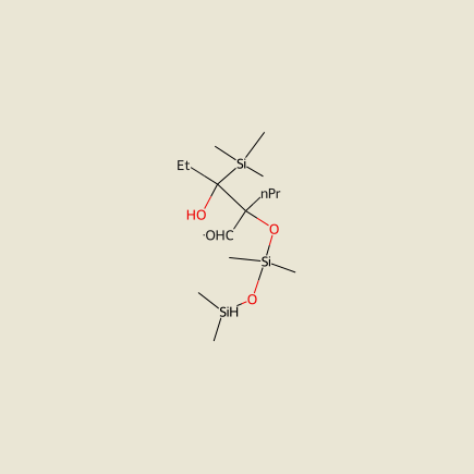 CCCC([C]=O)(O[Si](C)(C)O[SiH](C)C)C(O)(CC)[Si](C)(C)C